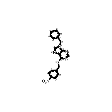 O=[N+]([O-])c1ccc(CSc2ncnc3c2ncn3Cc2ccccc2)cc1